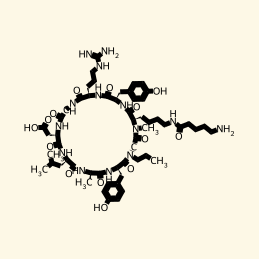 CCCN1CC(=O)N(C)[C@@H](CCCCNC(=O)CCCCN)C(=O)N[C@@H](Cc2ccc(O)cc2)C(=O)N[C@@H](CCCNC(=N)N)C(=O)NCC(=O)N[C@@H](CC(=O)O)C(=O)N[C@@H](CC(C)C)C(=O)N[C@@H](C)C(=O)N[C@@H](Cc2ccc(O)cc2)C1=O